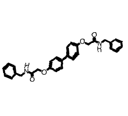 O=C(COc1ccc(-c2ccc(OCC(=O)NCc3ccccc3)cc2)cc1)NCc1ccccc1